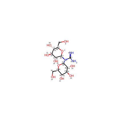 N=C(N)N([C@@H]1O[C@H](CO)[C@@H](O)[C@H](O)[C@H]1O)[C@@H]1O[C@H](CO)[C@@H](O)[C@H](O)[C@H]1O